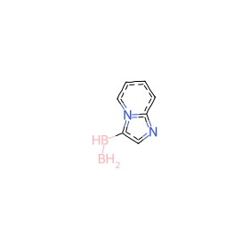 BBc1cnc2ccccn12